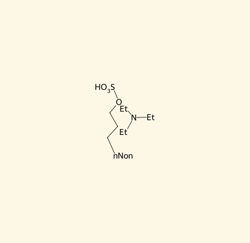 CCCCCCCCCCCCOS(=O)(=O)O.CCN(CC)CC